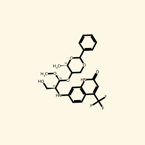 CO[C@@H](OC1COC(c2ccccc2)O[C@H]1C)[C@H](CO)Nc1ccc2c(C(F)(F)F)cc(=O)[nH]c2c1